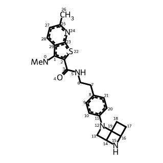 CNc1c(C(=O)NCCc2ccc(N3CC4NC5CCC543)cc2)sc2nc(C)ccc12